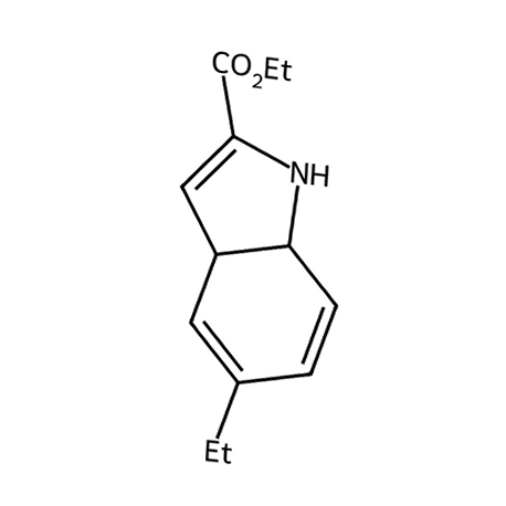 CCOC(=O)C1=CC2C=C(CC)C=CC2N1